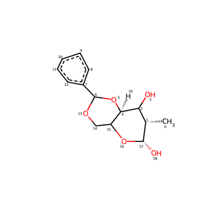 C[C@H]1C(O)[C@@H]2OC(c3ccccc3)OCC2O[C@H]1O